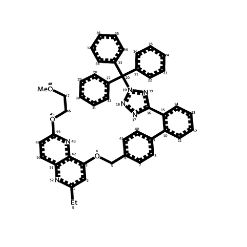 CCc1cc(OCc2ccc(-c3ccccc3-c3nnn(C(c4ccccc4)(c4ccccc4)c4ccccc4)n3)cc2)c2nc(OCCOC)ccc2n1